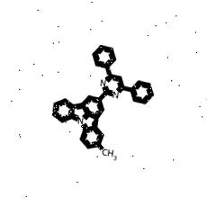 Cc1ccc2c(c1)c1cc(-c3nc(-c4ccccc4)cc(-c4ccccc4)n3)cc3c4ccccc4n2c31